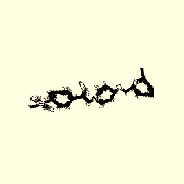 Cc1cccc(COc2cc[n+](CC(=O)c3ccc(S(C)(=O)=O)cc3)cc2)n1